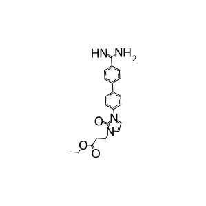 CCOC(=O)CCn1ccn(-c2ccc(-c3ccc(C(=N)N)cc3)cc2)c1=O